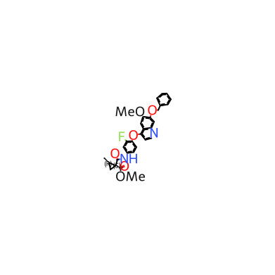 COC(=O)[C@@]1(C(=O)Nc2ccc(Oc3ccnc4cc(OCc5ccccc5)c(OC)cc34)c(F)c2)C[C@H]1C